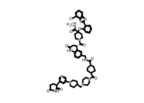 CNC(=O)C1(Oc2ccccc2-c2nc3cccc(Cl)c3s2)CCN(C(=O)[C@H]2CC(=O)Nc3ccc(CNC(=O)C4CCC(C(=O)N5CCN(CC6CCN(c7cncc(C8CCC(=O)NC8=O)c7)CC6)CC5)CC4)cc32)CC1